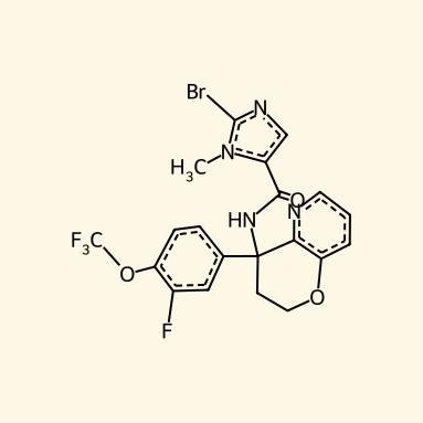 Cn1c(C(=O)NC2(c3ccc(OC(F)(F)F)c(F)c3)CCOc3cccnc32)cnc1Br